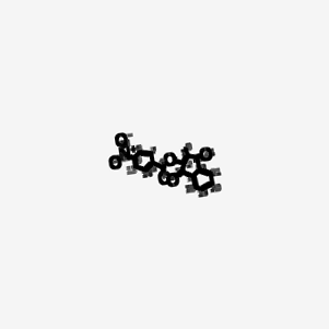 CC1=C(OC(=O)c2ccc([N+](=O)[O-])cc2)C(=O)c2ccccc2C1=O